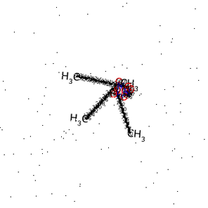 CCCCCCCCCCCCCCCCCC(=O)OC(CCCCCCCCCCCCCCCCC)C(CCCCCCCCCCCCCCCC)C(=O)N[C@@H](C)C(=O)ON1C(=O)CCC1=O